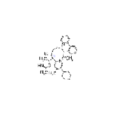 C=C(OC(C)=N)/C1=C(\CC)CCC2C(C(=C)[n+]3cc(C4CCCCC4)c(C)cc31)c1ccccc1-c1cccc[n+]12